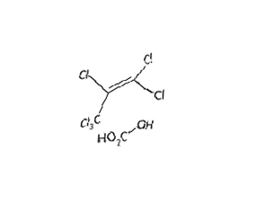 ClC(Cl)=C(Cl)C(Cl)(Cl)Cl.O=C(O)O